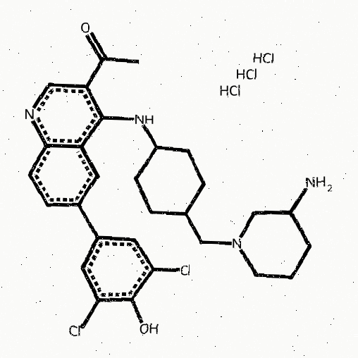 CC(=O)c1cnc2ccc(-c3cc(Cl)c(O)c(Cl)c3)cc2c1NC1CCC(CN2CCCC(N)C2)CC1.Cl.Cl.Cl